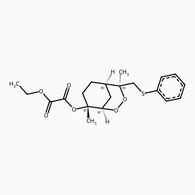 CCOC(=O)C(=O)O[C@]1(C)CC[C@@H]2C[C@H]1OO[C@]2(C)CSc1ccccc1